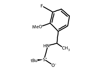 COc1c(F)cccc1C(C)N[S@@+]([O-])C(C)(C)C